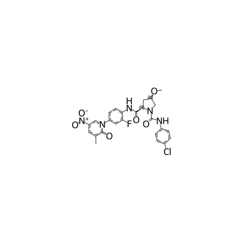 CO[C@@H]1C[C@H](C(=O)Nc2ccc(-n3cc([N+](=O)[O-])cc(C)c3=O)cc2F)N(C(=O)Nc2ccc(Cl)cc2)C1